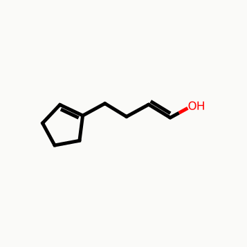 OC=CCCC1=CCCC1